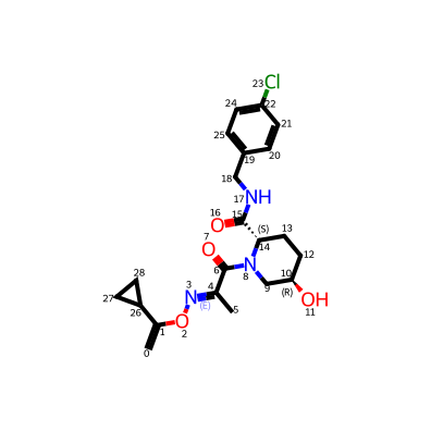 C=C(O/N=C(\C)C(=O)N1C[C@H](O)CC[C@H]1C(=O)NCc1ccc(Cl)cc1)C1CC1